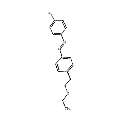 CCOCCc1ccc(N=Nc2ccc(Br)cc2)cc1